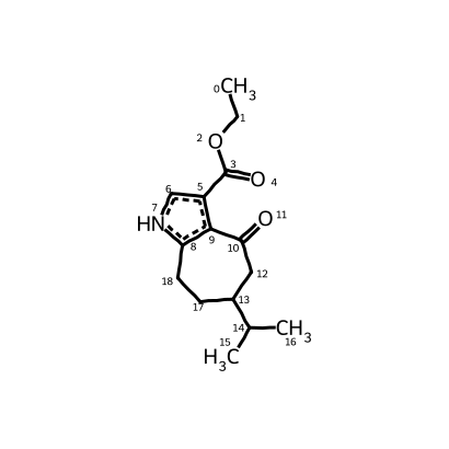 CCOC(=O)c1c[nH]c2c1C(=O)CC(C(C)C)CC2